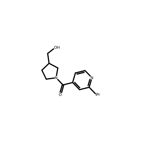 CC(C)c1cc(C(=O)N2CCC(CO)C2)ccn1